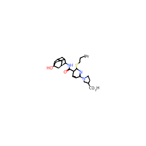 CC(C)CCSC1N=C(N2CCC(C(=O)O)C2)C=CC1C(=O)NC1C2CC3CC1CC(O)(C3)C2